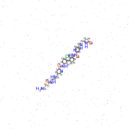 Cc1c(NC(=O)c2ccc(CNCCNC(=O)CCCN)cn2)cccc1-c1cccc(NC(=O)c2ccc(CNC[C@@H]3CCC(=O)N3)cn2)c1Cl